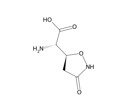 N[C@H](C(=O)O)[C@@H]1CC(=O)NO1